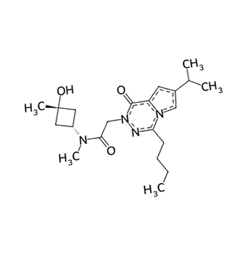 CCCCc1nn(CC(=O)N(C)[C@H]2C[C@@](C)(O)C2)c(=O)c2cc(C(C)C)cn12